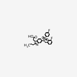 CCCc1nc2cc(N(Cc3cccc(F)c3)S(=O)(=O)c3ccc(F)cc3)ccc2n1CC(=O)O